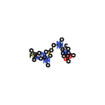 FC(F)(F)c1cccc(-n2c3ccccc3c3c4oc5ccccc5c4ccc32)c1-c1cc(-c2nc(-c3ccccc3)nc(-c3cccc(-c4ccc5sc6c(ccc7c6c6ccccc6n7-c6cccc(C(F)(F)F)c6-c6cc(-c7nc(-c8ccccc8)nc(-c8ccccc8)n7)ccc6-n6c7ccccc7c7c8sc9ccccc9c8ccc76)c5c4)c3)n2)ccc1-n1c2ccccc2c2c3oc4ccccc4c3ccc21